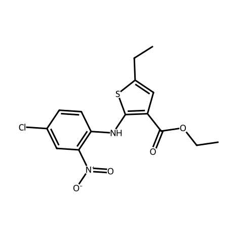 CCOC(=O)c1cc(CC)sc1Nc1ccc(Cl)cc1[N+](=O)[O-]